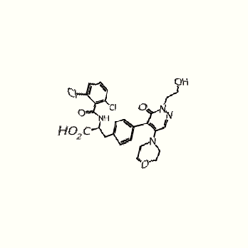 O=C(N[C@@H](Cc1ccc(-c2c(N3CCOCC3)cnn(CCO)c2=O)cc1)C(=O)O)c1c(Cl)cccc1Cl